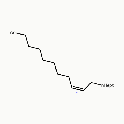 CCCCCCCC/C=C\CCCCCCCC(C)=O